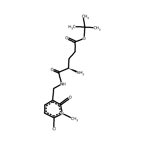 Cn1c(Cl)ccc(CNC(=O)[C@H](N)CCC(=O)OC(C)(C)C)c1=O